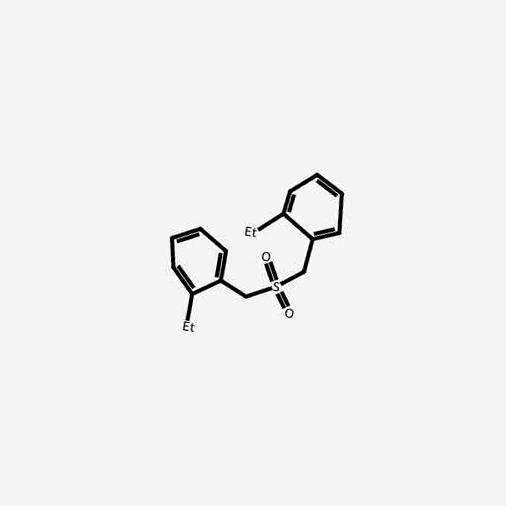 CCc1ccccc1CS(=O)(=O)Cc1ccccc1CC